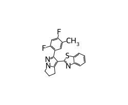 Cc1cc(-c2nn3c(c2-c2nc4ccccc4s2)CCC3)c(F)cc1F